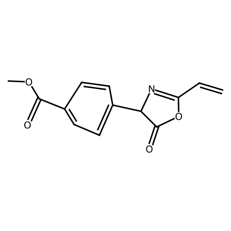 C=CC1=NC(c2ccc(C(=O)OC)cc2)C(=O)O1